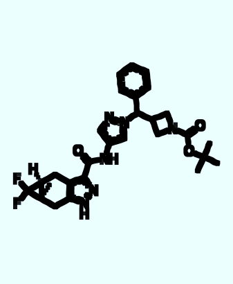 CC(C)(C)OC(=O)N1CC(C(c2ccccc2)n2cc(NC(=O)c3n[nH]c4c3C[C@@H]3C(F)(F)[C@]3(C)C4)cn2)C1